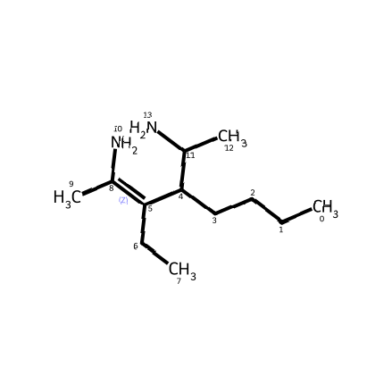 CCCCC(/C(CC)=C(/C)N)C(C)N